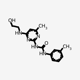 Cc1cccc(NC(=O)Nc2nc(C)cc(NCCO)n2)c1